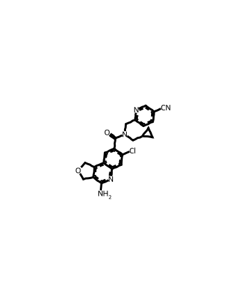 N#Cc1ccc(CN(CC2CC2)C(=O)c2cc3c4c(c(N)nc3cc2Cl)COC4)nc1